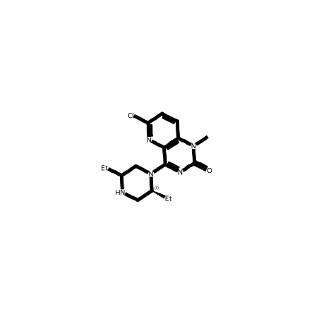 CCC1CN(c2nc(=O)n(C)c3ccc(Cl)nc23)[C@@H](CC)CN1